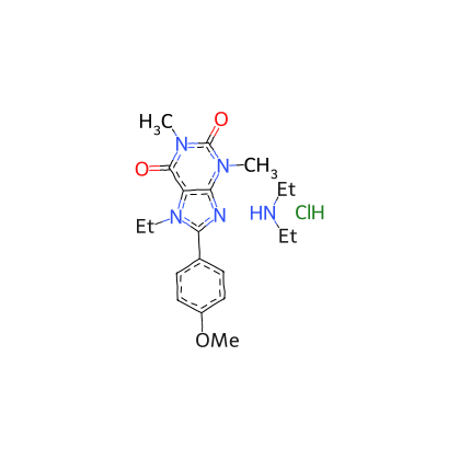 CCNCC.CCn1c(-c2ccc(OC)cc2)nc2c1c(=O)n(C)c(=O)n2C.Cl